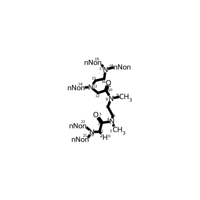 [2H]C(C(=O)N(C)CCN(C)C(=O)CN(CCCCCCCCC)CCN(CCCCCCCCC)CCCCCCCCC)N(CCCCCCCCC)CCCCCCCCC